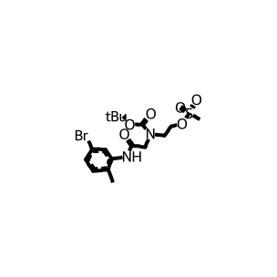 Cc1ccc(Br)cc1NC(=O)CN(CCOS(C)(=O)=O)C(=O)OC(C)(C)C